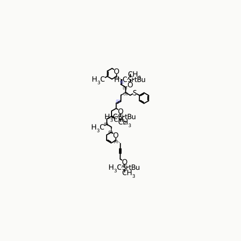 C=C(CC(/C=C/C[C@H](CSc1ccccc1)[C@H](/C=C/[C@@H]1CC(C)=CCO1)O[Si](C)(C)C(C)(C)C)O[Si](C)(C)C(C)(C)C)C[C@H](C)C[C@@H]1CC=C[C@@H](CC#CCO[Si](C)(C)C(C)(C)C)O1